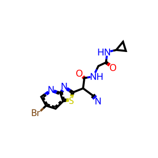 N#CC(C(=O)NCC(=O)NC1CC1)c1nc2ncc(Br)cc2s1